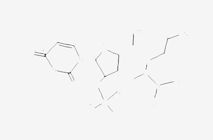 COC[C@H]1O[C@@H](n2ccc(=O)[nH]c2=O)C(O[Si](C)(C)C(C)(C)C)[C@H]1OP(OCCC#N)N(C(C)C)C(C)C